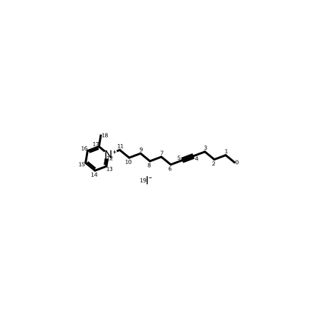 CCCCC#CCCCCCC[n+]1ccccc1C.[I-]